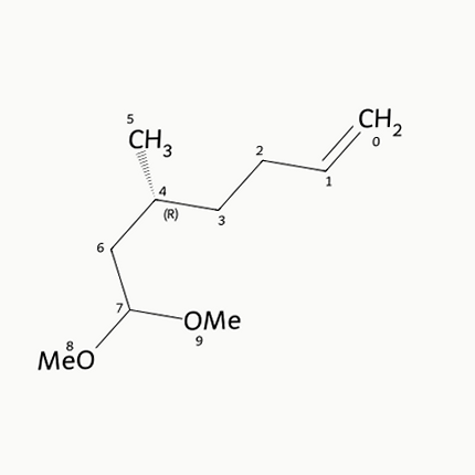 C=CCC[C@@H](C)CC(OC)OC